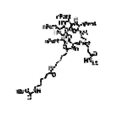 CCCCCC(NC(=O)CCCCCNC(=O)CCCCCNC(=O)OC(C)(C)C)C(=O)NC(CCCCC)C(=O)NC(CCCCC)C(=O)NC(CCCCC)C(=O)NC(CCCCC)C(=O)NCCCCCC(=O)NCC